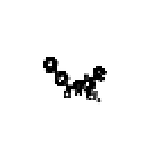 O=C(c1cc2nc(-c3cccs3)cc(C(F)(F)F)n2n1)N1CCN(c2ccccc2)CC1